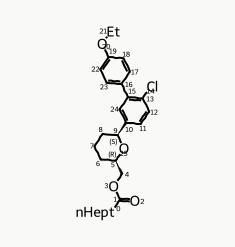 CCCCCCCC(=O)OC[C@H]1CCC[C@@H](c2ccc(Cl)c(-c3ccc(OCC)cc3)c2)O1